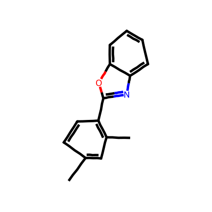 Cc1ccc(-c2nc3ccccc3o2)c(C)c1